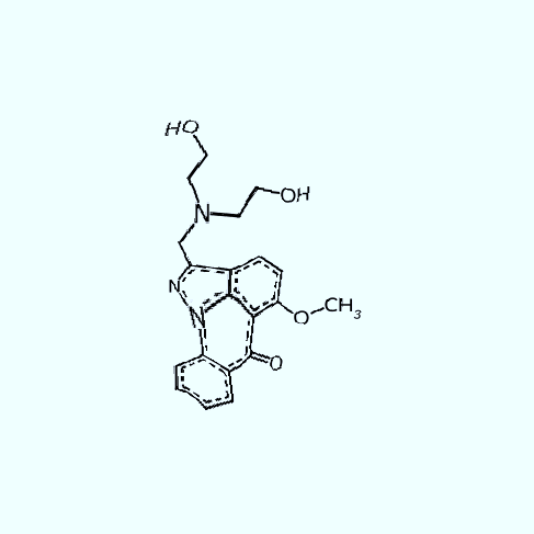 COc1ccc2c(CN(CCO)CCO)nn3c4ccccc4c(=O)c1c23